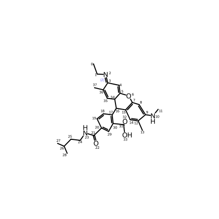 CC/N=C1/C=C2Oc3cc(NC)c(C)cc3C(c3ccc(C(=O)NCCC(C)C)cc3C(=O)O)C2C=C1C